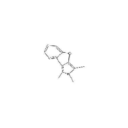 Cc1c2oc3ccccc3c2c(C)n1C